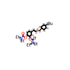 CCN(CC)C(=O)Oc1ccc(/C=C/SCc2ccc(C(C)(C)C)cc2)cc1OC(=O)N(CC)CC